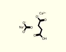 O=C([O-])CCC(=O)O.O=C([O-])[O-].[Ca+2].[Na+]